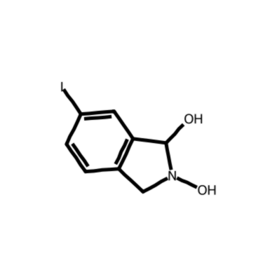 OC1c2cc(I)ccc2CN1O